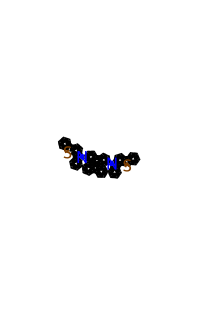 c1ccc2c(c1)-c1ccccc1C21c2cc(-n3c4ccccc4c4c5sc6ccccc6c5ccc43)ccc2-c2ccc(-n3c4ccccc4c4c5sc6ccccc6c5ccc43)cc21